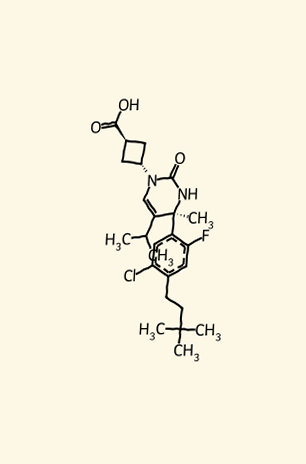 CC(C)C1=CN([C@H]2C[C@H](C(=O)O)C2)C(=O)N[C@@]1(C)c1cc(Cl)c(CCC(C)(C)C)cc1F